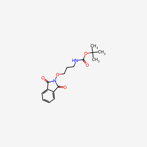 CC(C)(C)OC(=O)NCCCON1C(=O)c2ccccc2C1=O